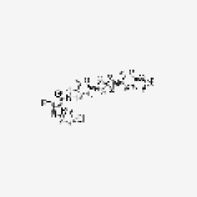 CCc1nc2ccc(Cl)cn2c1C(=O)NCc1ccc(C2CC3(C2)CN(c2ccc(OC(F)F)cc2)C3)cc1